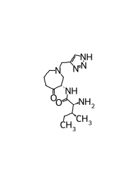 CC[C@H](C)[C@H](N)C(=O)N[C@H]1CN(Cc2c[nH]nn2)CCCC1=O